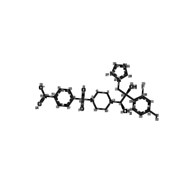 C[C@@H](N1CCN(S(=O)(=O)c2ccc([N+](=O)[O-])cc2)CC1)[C@](O)(Cn1cncn1)c1ccc(F)cc1F